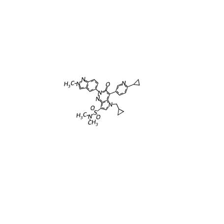 CN(C)S(=O)(=O)c1cn(CC2CC2)c2c(-c3ccc(C4CC4)nc3)c(=O)n(-c3ccc4nn(C)cc4c3)nc12